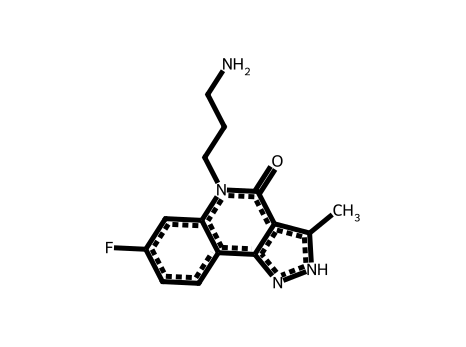 Cc1[nH]nc2c1c(=O)n(CCCN)c1cc(F)ccc21